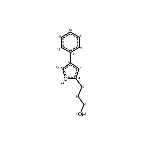 OCCCc1cc(-c2ccccc2)no1